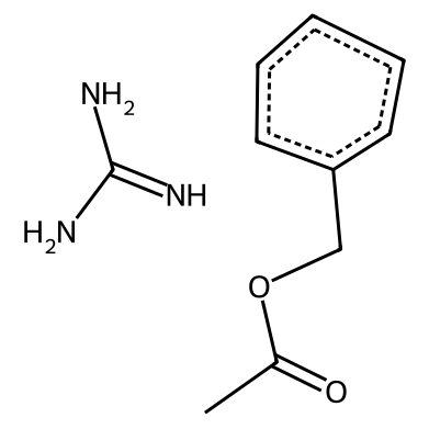 CC(=O)OCc1ccccc1.N=C(N)N